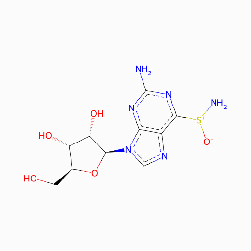 Nc1nc([S+](N)[O-])c2ncn([C@H]3O[C@@H](CO)[C@H](O)[C@@H]3O)c2n1